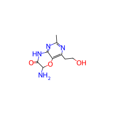 Cc1nc(CCO)c2c(n1)NC(=O)C(N)O2